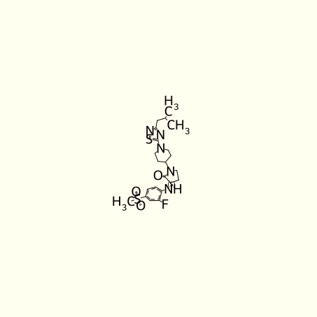 CC(C)Cc1nsc(N2CCC(N3CC[C@H](Nc4ccc(S(C)(=O)=O)cc4F)C3=O)CC2)n1